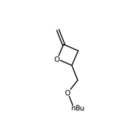 C=C1CC(COCCCC)O1